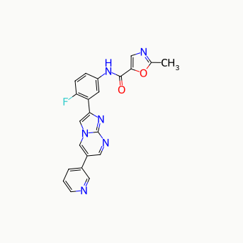 Cc1ncc(C(=O)Nc2ccc(F)c(-c3cn4cc(-c5cccnc5)cnc4n3)c2)o1